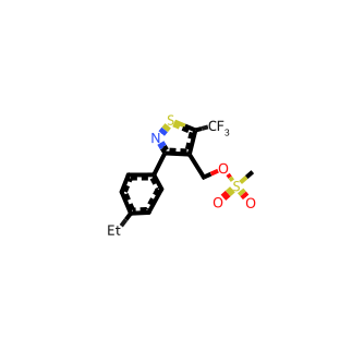 CCc1ccc(-c2nsc(C(F)(F)F)c2COS(C)(=O)=O)cc1